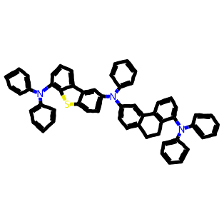 c1ccc(N(c2ccc3c(c2)-c2cccc(N(c4ccccc4)c4ccccc4)c2CC3)c2ccc3sc4c(N(c5ccccc5)c5ccccc5)cccc4c3c2)cc1